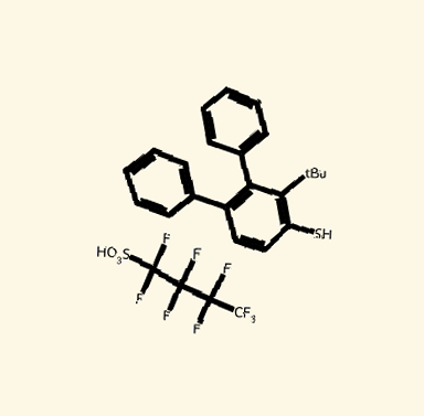 CC(C)(C)c1c(S)ccc(-c2ccccc2)c1-c1ccccc1.O=S(=O)(O)C(F)(F)C(F)(F)C(F)(F)C(F)(F)F